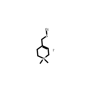 CCSCC1=CC[N+](C)(C)CC1.[I-]